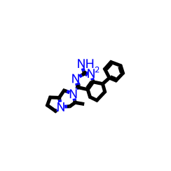 CC1CN2CCCC2CN1c1nc(N)nc2c1CCCC2c1ccccc1